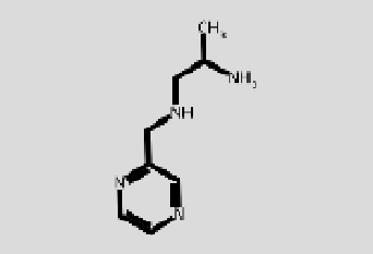 CC(N)CNCc1cnccn1